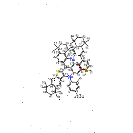 Cc1cc(C(C)(C)C)ccc1N1c2cc(S(C)(C)C)cc3c2B(c2ccc4c(c2N3C2=CC3C(C=C2c2ccccc2)C(C)(C)CCC3(C)C)C(C)(C)CCC4(C)C)c2sc3cc4c(cc3c21)C(C)(C)CCC4(C)C